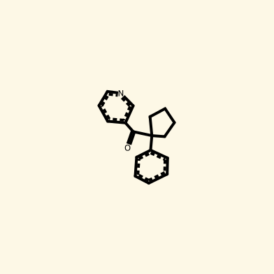 O=C(c1cccnc1)C1(c2ccccc2)CCCC1